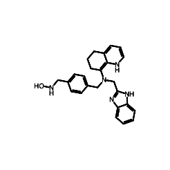 ONCc1ccc(CN(Cc2nc3ccccc3[nH]2)C2=C3NC=CC=C3CCC2)cc1